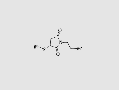 CC(C)CCN1C(=O)CC(SC(C)C)C1=O